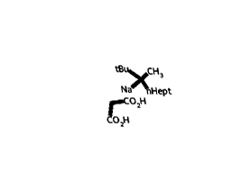 CCCCCCC[C](C)([Na])C(C)(C)C.O=C(O)CC(=O)O